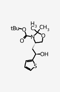 CC(C)(C)OC(=O)N1[C@@H](C[C@@H](O)c2cccs2)COC1(C)C